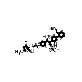 Cc1cc(Cl)c(OCCOc2ccc(CC(CNC(=O)O)c3ccc(-c4ccccc4CCO)cc3C)cc2)c(Cl)c1